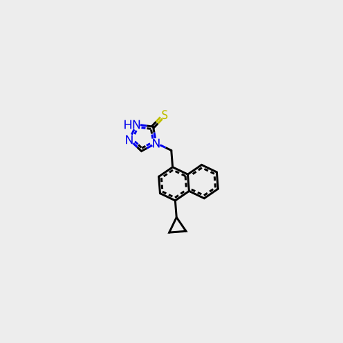 S=c1[nH]ncn1Cc1ccc(C2CC2)c2ccccc12